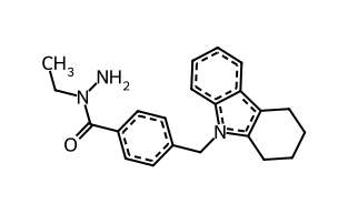 CCN(N)C(=O)c1ccc(Cn2c3c(c4ccccc42)CCCC3)cc1